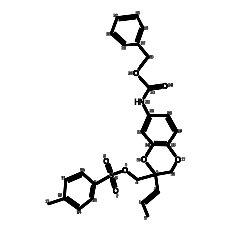 CC=CC1(COS(=O)(=O)c2ccc(C)cc2)COc2ccc(NC(=O)OCc3ccccc3)cc2O1